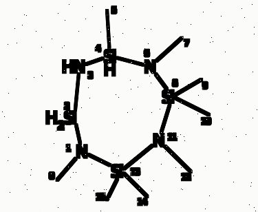 CN1[SiH2]N[SiH](C)N(C)[Si](C)(C)N(C)[Si]1(C)C